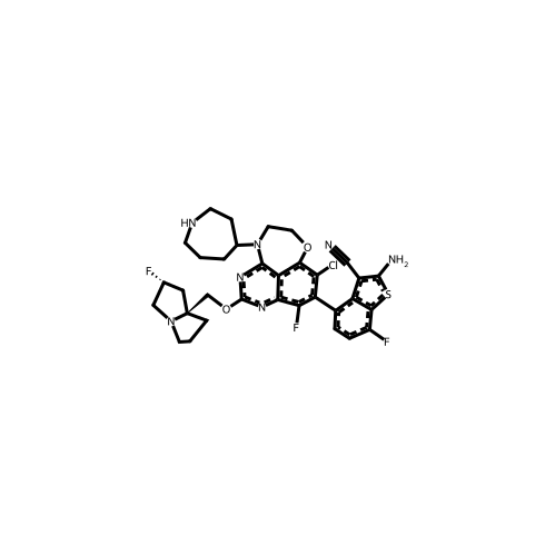 N#Cc1c(N)sc2c(F)ccc(-c3c(Cl)c4c5c(nc(OC[C@@]67CCCN6C[C@H](F)C7)nc5c3F)N(C3CCCNCC3)CCO4)c12